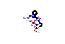 CCCCCCCCCCCn1cc(-c2noc([C@@H]3CCCN3/C(=N\C(=O)OC(C)(C)C)NC(=O)OC(C)(C)C)n2)c2ccccc21